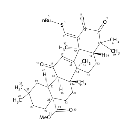 CCCCS/C=C1\C(=O)C(=O)C(C)(C)[C@@H]2CC[C@]3(C)C(=CC(=O)[C@@H]4[C@@H]5CC(C)(C)CC[C@]5(C(=O)OC)CC[C@]43C)[C@@]12C